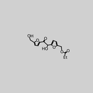 CCC(=O)OCc1ccc(C(O)C(=O)c2ccc(CO)o2)o1